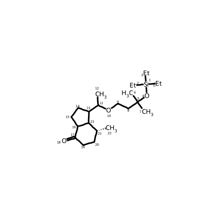 CC[Si](CC)(CC)OC(C)(C)CCOC(C)C1CCC2C(=O)CC[C@@H](C)C21